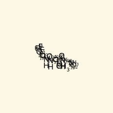 COc1cc(NC(=O)Nc2ccc(OC(F)(F)F)cc2)ccc1C(=O)NCCCN1CCCCC1